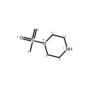 C=S(C)(=O)N1CCNCC1